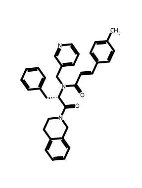 Cc1ccc(/C=C/C(=O)N(Cc2cccnc2)[C@@H](Cc2ccccc2)C(=O)N2CCc3ccccc3C2)cc1